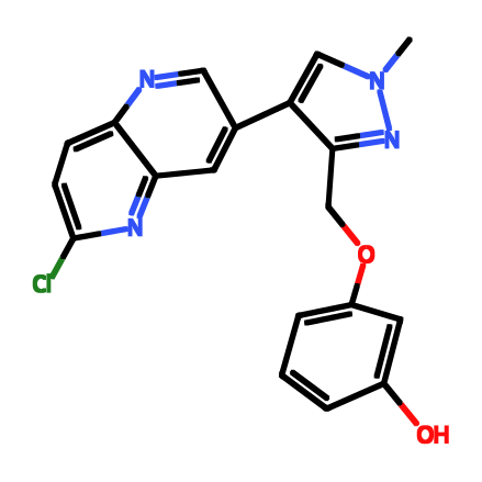 Cn1cc(-c2cnc3ccc(Cl)nc3c2)c(COc2cccc(O)c2)n1